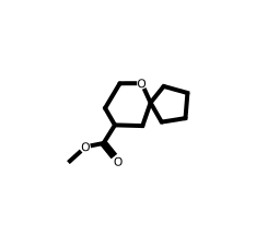 COC(=O)C1CCOC2(CCCC2)C1